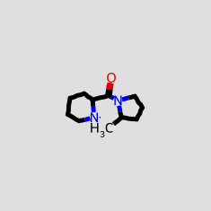 CC1CCCN1C(=O)C1CCCC[N]1